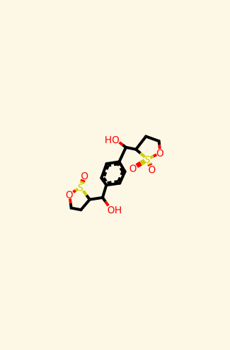 O=S1OCCC1C(O)c1ccc(C(O)C2CCOS2(=O)=O)cc1